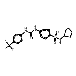 O=C(Nc1ccc(C(F)(F)F)cc1)Nc1ccc(S(=O)(=O)NC2CCCC2)cc1